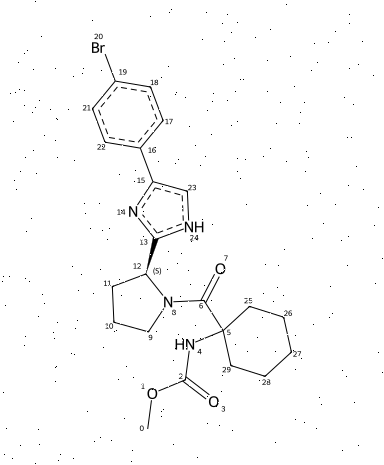 COC(=O)NC1(C(=O)N2CCC[C@H]2c2nc(-c3ccc(Br)cc3)c[nH]2)CCCCC1